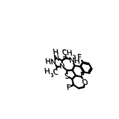 CC1NNC2[C@H](C)NC(c3c(F)cccc3F)C3C4COCCC(F)C4SC3N12